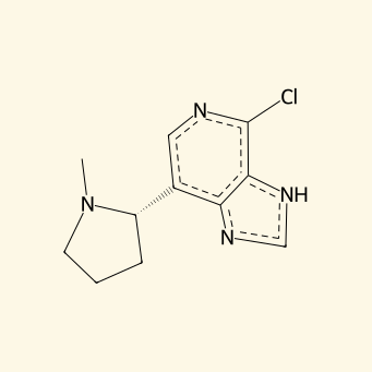 CN1CCC[C@H]1c1cnc(Cl)c2[nH]cnc12